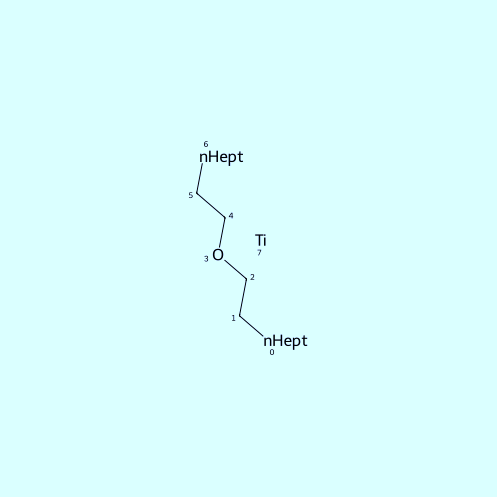 CCCCCCCCCOCCCCCCCCC.[Ti]